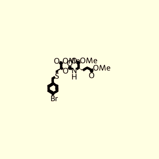 COC(=O)CC[C@H](NC(=O)O[C@@H](CSCc1ccc(Br)cc1)C(=O)OC)C(=O)OC